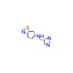 c1ncc(CNc2ccc3ncsc3c2)cn1